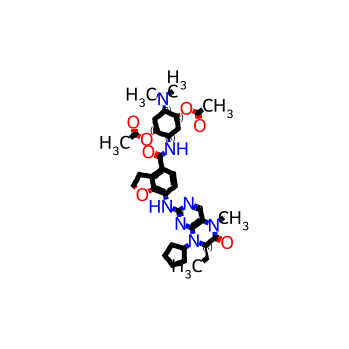 CC[C@@H]1C(=O)N(C)c2cnc(Nc3ccc(C(=O)N[C@@H]4C[C@@H](OC(C)=O)[C@H](N(C)C)C[C@H]4OC(C)=O)c4c3OCC4)nc2N1C1CCCC1